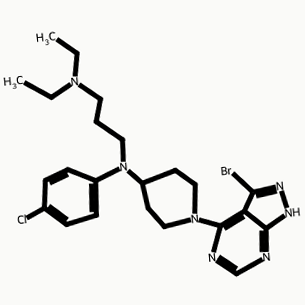 CCN(CC)CCCN(c1ccc(Cl)cc1)C1CCN(c2ncnc3[nH]nc(Br)c23)CC1